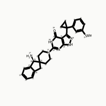 CSc1cccc(C2(c3n[nH]c4nc(N5CCC6(CC5)Cc5ccccc5[C@H]6N)[nH]c(=O)c34)CC2)c1